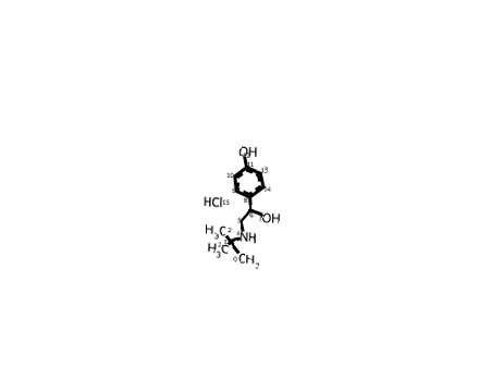 CC(C)(C)NCC(O)c1ccc(O)cc1.Cl